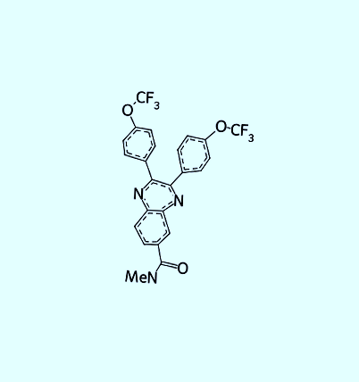 CNC(=O)c1ccc2nc(-c3ccc(OC(F)(F)F)cc3)c(-c3ccc(OC(F)(F)F)cc3)nc2c1